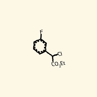 CCOC(=O)C(Cl)c1cccc(F)c1